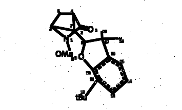 CON1C(=O)C2CC1C2C1Oc2c(C(C)(C)C)cccc2C1(C)C